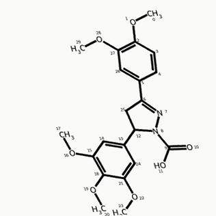 COc1ccc(C2=NN(C(=O)O)C(c3cc(OC)c(OC)c(OC)c3)C2)cc1OC